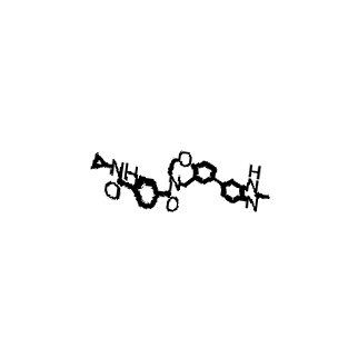 Cc1nc2ccc(-c3ccc4c(c3)CN(C(=O)c3ccc(C(=O)NC5CC5)cc3)CCO4)cc2[nH]1